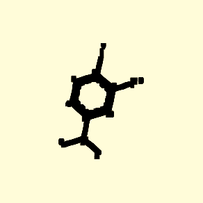 C[C](C)c1ccc(I)c(F)c1